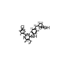 CCc1c(C)nc(-c2ccc(Cl)s2)nc1Nc1ccc(CC2CCB(O)O2)cc1